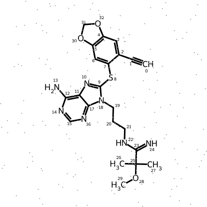 C#Cc1cc2c(cc1Sc1nc3c(N)ncnc3n1CCCNC(=N)C(C)(C)OC)OCO2